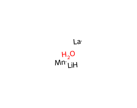 O.[La].[LiH].[Mn]